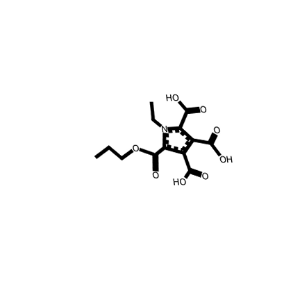 CCCOC(=O)c1c(C(=O)O)c(C(=O)O)c(C(=O)O)n1CC